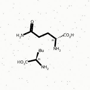 CCC(C)[C@@H](N)C(=O)O.NC(=O)CC[C@@H](N)C(=O)O